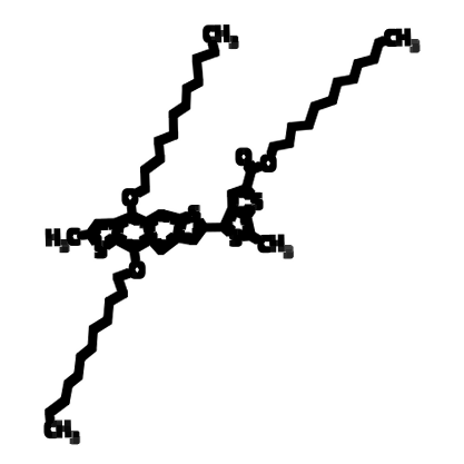 CCCCCCCCCCCCOC(=O)c1cc2c(-c3cc4cc5c(OCCCCCCCCCCCC)c6sc(C)cc6c(OCCCCCCCCCCCC)c5cc4s3)sc(C)c2s1